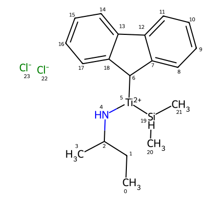 CCC(C)[NH][Ti+2]([CH]1c2ccccc2-c2ccccc21)[SiH](C)C.[Cl-].[Cl-]